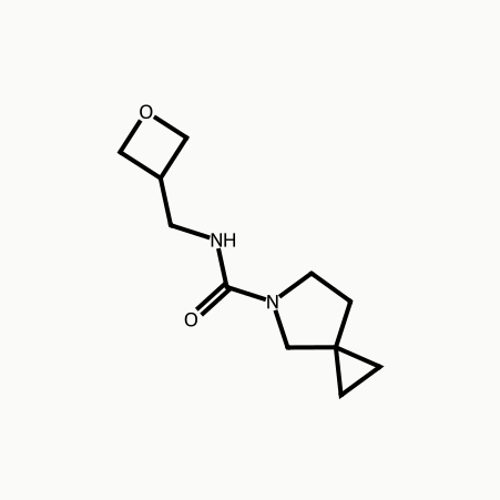 O=C(NCC1COC1)N1CCC2(CC2)C1